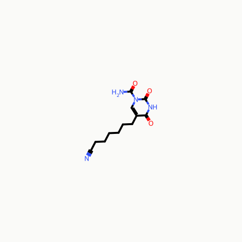 N#CCCCCCCc1cn(C(N)=O)c(=O)[nH]c1=O